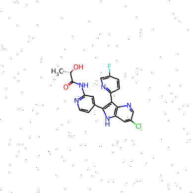 C[C@H](O)C(=O)Nc1cc(-c2[nH]c3cc(Cl)cnc3c2-c2ccc(F)cn2)ccn1